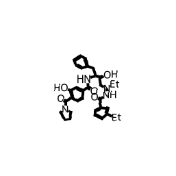 CCc1cccc(C(=O)NN(CC)CC(O)C(Cc2ccccc2)NC(=O)c2ccc(C(=O)N3CCCC3)c(O)c2)c1